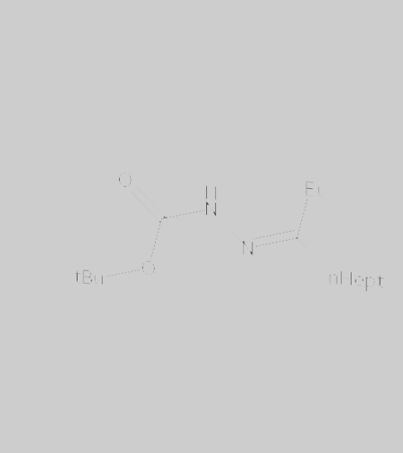 CCCCCCCC(CC)=NNC(=O)OC(C)(C)C